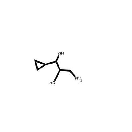 NCC(O)C(O)C1CC1